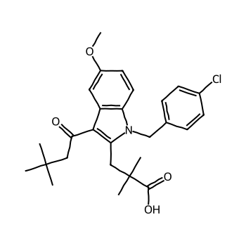 COc1ccc2c(c1)c(C(=O)CC(C)(C)C)c(CC(C)(C)C(=O)O)n2Cc1ccc(Cl)cc1